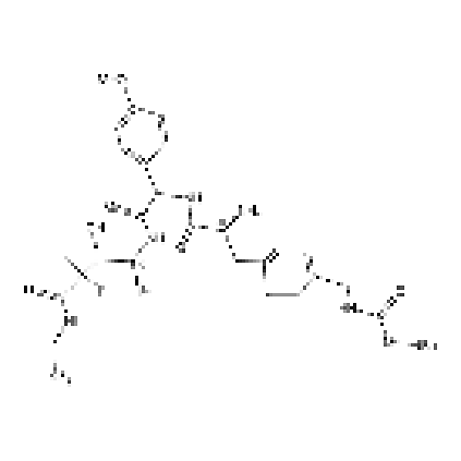 COc1ccc(C(NC(=O)[C@@H](N)Cc2ccc(CNC(=O)OC(C)(C)C)cc2)C(=O)N[C@@H](C(C)C)C(O)C(F)(F)C(=O)NCC(F)(F)F)cc1